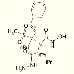 CCCCC(/C=C/c1ccccc1)([C@H](C(=O)NO)[C@@H](CC(C)C)C(=O)NN)S(C)(=O)=O